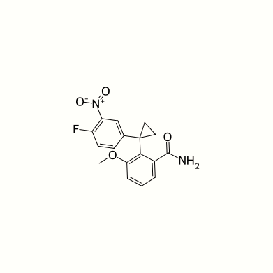 COc1cccc(C(N)=O)c1C1(c2ccc(F)c([N+](=O)[O-])c2)CC1